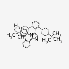 CC(C)(C)C1CCC(c2cccc(C3CCC(C(C)(C)C)CC3)c2-c2cnc3c4ccccc4c4ccccc4n23)CC1